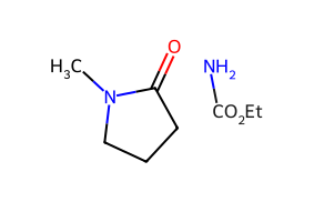 CCOC(N)=O.CN1CCCC1=O